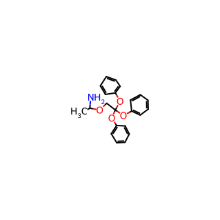 CC(N)OCC(Oc1ccccc1)(Oc1ccccc1)Oc1ccccc1